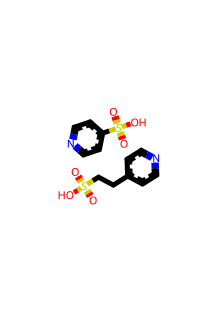 O=S(=O)(O)CCc1ccncc1.O=S(=O)(O)c1ccncc1